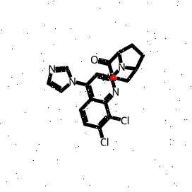 O=C1NCC2CCC1N2c1cc(-n2ccnc2)c2ccc(Cl)c(Cl)c2n1